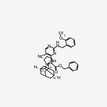 N#Cc1cnc(NCc2ccccc2OC(F)(F)F)nc1NC[C@]12CC3C[C@H](C1)C(N1CCCC1C(=O)OCc1ccccc1)[C@@H](C3)C2